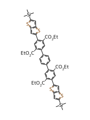 CCOC(=O)c1cc(-c2cc3sc([Si](C)(C)C)cc3s2)c(C(=O)OCC)cc1-c1ccc(-c2cc(C(=O)OCC)c(-c3cc4sc([Si](C)(C)C)cc4s3)cc2C(=O)OCC)cc1